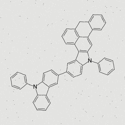 c1ccc(-n2c3ccccc3c3cc(-c4ccc5c(c4)c4c6cccc7c6c(cc4n5-c4ccccc4)-c4ccccc4C7)ccc32)cc1